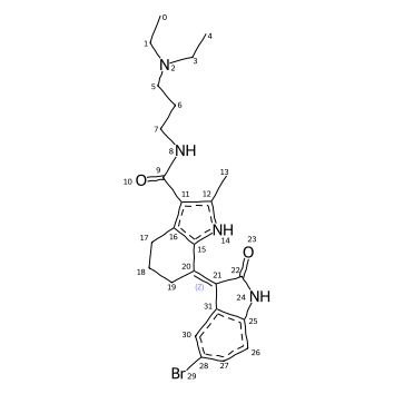 CCN(CC)CCCNC(=O)c1c(C)[nH]c2c1CCC/C2=C1/C(=O)Nc2ccc(Br)cc21